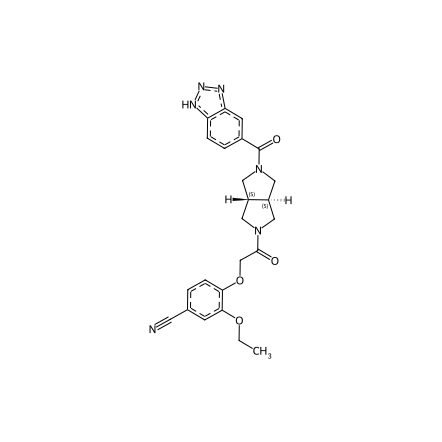 CCOc1cc(C#N)ccc1OCC(=O)N1C[C@@H]2CN(C(=O)c3ccc4[nH]nnc4c3)C[C@H]2C1